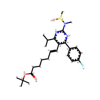 CC(C)c1nc(N(C)[S+](C)[O-])nc(-c2ccc(F)cc2)c1/C=C/CCCCC(=O)OC(C)(C)C